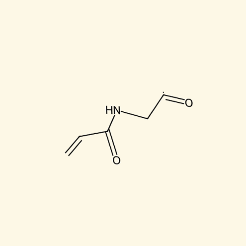 C=CC(=O)NC[C]=O